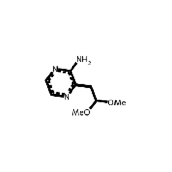 COC(Cc1nccnc1N)OC